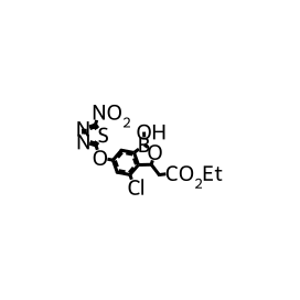 CCOC(=O)CC1OB(O)c2cc(Oc3nnc([N+](=O)[O-])s3)cc(Cl)c21